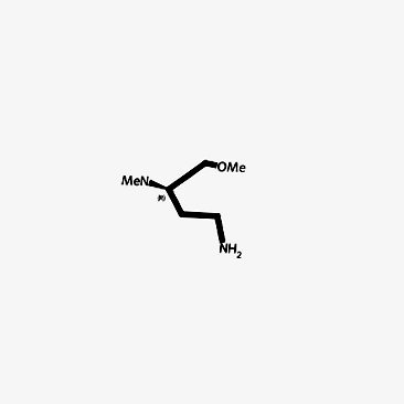 CN[C@H](CCN)COC